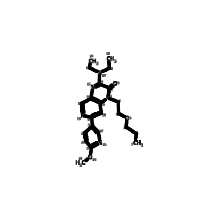 CCCOCCn1c(=O)c(N(CC)CC)nc2cnc(-c3ccc(OC)nc3)cc21